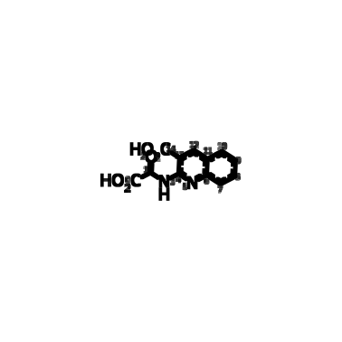 O=C(O)C(=O)Nc1nc2ccccc2cc1C(=O)O